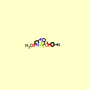 COc1ccc(CN2CC[C@@](CCc3ccc(C#N)cc3)([C@@H](O)C(F)(F)F)C2)cn1